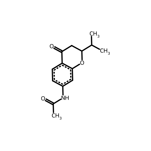 CC(=O)Nc1ccc2c(c1)OC(C(C)C)CC2=O